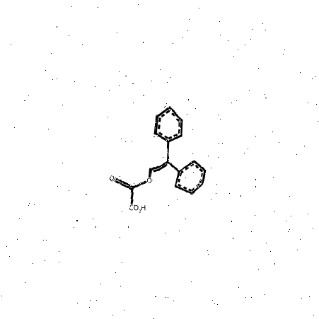 O=C(O)C(=O)OC=C(c1ccccc1)c1ccccc1